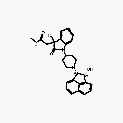 CNC(=O)CC1(O)C(=O)N(C2CCN([C@H]3c4cccc5cccc(c45)[C@H]3O)CC2)c2ccccc21